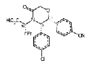 CCC[C@H](C(=O)O)N1C(=O)CO[C@H](c2ccc(C#N)cc2)[C@@H]1c1ccc(Cl)cc1